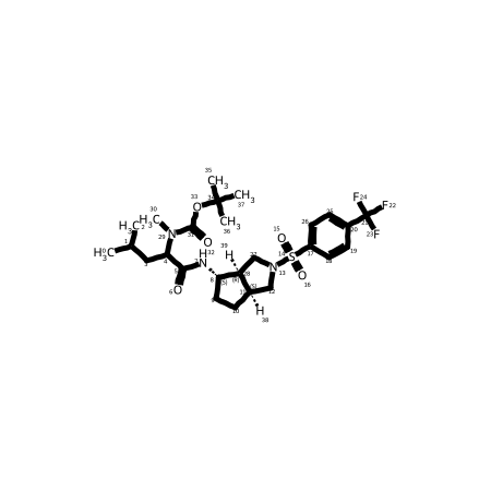 CC(C)CC(C(=O)N[C@H]1CC[C@@H]2CN(S(=O)(=O)c3ccc(C(F)(F)F)cc3)C[C@@H]21)N(C)C(=O)OC(C)(C)C